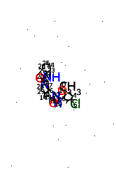 COc1ccc(Cl)cc1-c1noc(C2CC23CCN(C(=O)NC2CCCCC2)CC3)n1